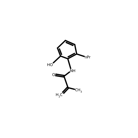 C=C(C)C(=O)Nc1c(O)cccc1CCC